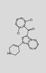 O=C(c1c(Cl)cccc1Cl)c1cc(C2=CCNCC2)c2ccccn12